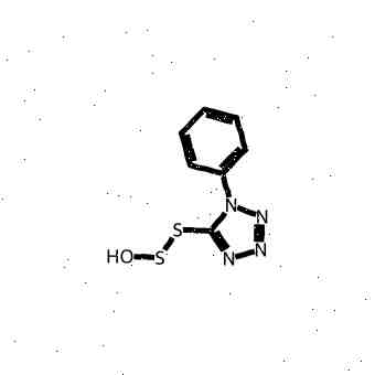 OSSc1nnnn1-c1ccccc1